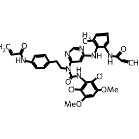 C=CC(=O)Nc1ccc(CCN(C(=O)Nc2c(Cl)c(OC)cc(OC)c2Cl)c2cc(Nc3c(C)cccc3NC(=O)C=C)ncn2)cc1